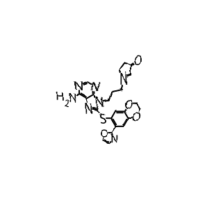 Nc1ncnc2c1nc(Sc1cc3c(cc1-c1ncco1)OCCO3)n2CCCN1CCC(=O)C1